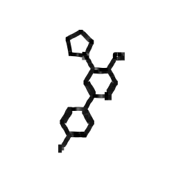 N#Cc1cnc(-c2ccc(F)cc2)cc1N1CCCC1